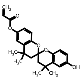 C=CC(=O)Oc1ccc2c(c1)C(C)(C)CC1(CC(C)(C)c3cc(O)ccc3O1)O2